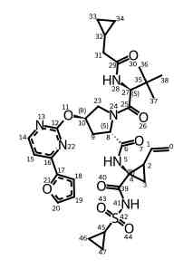 C=CC1C[C@]1(NC(=O)[C@@H]1C[C@@H](Oc2nccc(-c3ccco3)n2)CN1C(=O)[C@@H](NC(=O)CC1CC1)C(C)(C)C)C(=O)NS(=O)(=O)C1CC1